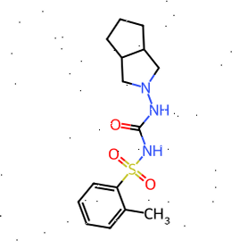 Cc1ccccc1S(=O)(=O)NC(=O)NN1CC2CCCC2C1